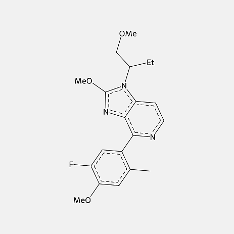 CCC(COC)n1c(OC)nc2c(-c3cc(F)c(OC)cc3C)nccc21